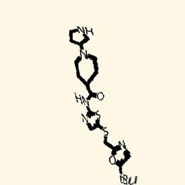 CC(C)(C)c1cnc(CSc2cnc(NC(=O)C3CCN(C4CCNC4)CC3)s2)o1